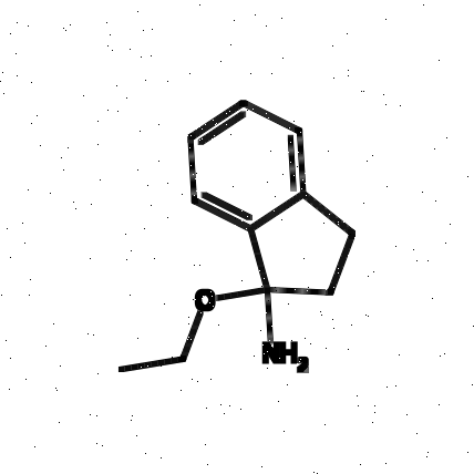 CCOC1(N)CCc2ccccc21